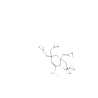 CN(C)C1=CC(CC2CO2)(CC2CO2)CC(CC2CO2)(CC2CO2)C1CC1CO1